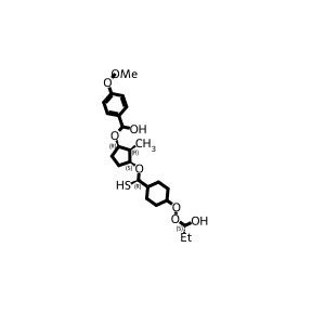 CC[C@@H](O)OOC1CCC([C@@H](S)O[C@H]2CC[C@@H](OC(O)c3ccc(OOC)cc3)[C@H]2C)CC1